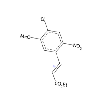 CCOC(=O)/C=C/c1cc(OC)c(Cl)cc1[N+](=O)[O-]